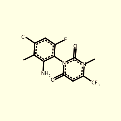 Cc1c(Cl)cc(F)c(-n2c(=O)cc(C(F)(F)F)n(C)c2=O)c1N